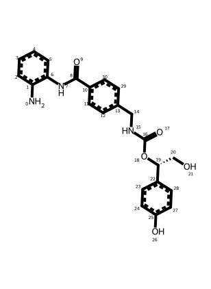 Nc1ccccc1NC(=O)c1ccc(CNC(=O)O[C@H](CO)c2ccc(O)cc2)cc1